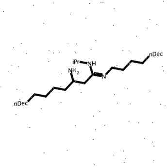 CCCCCCCCCCCCCCN=C(CC(N)CCCCCCCCCCCCCC)NC(C)C